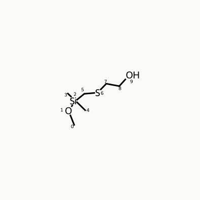 CO[Si](C)(C)CSCCO